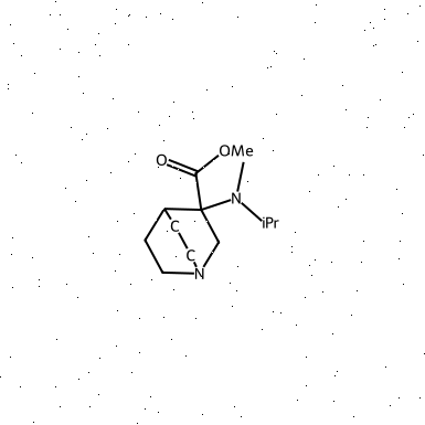 COC(=O)C1(N(C)C(C)C)CN2CCC1CC2